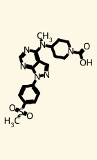 CN(c1ncnc2c1cnn2-c1ccc(S(C)(=O)=O)cc1)C1CCN(C(=O)O)CC1